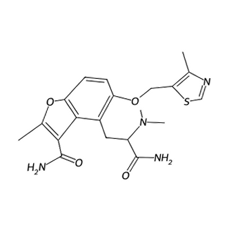 Cc1ncsc1COc1ccc2oc(C)c(C(N)=O)c2c1CC(C(N)=O)N(C)C